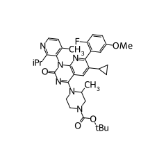 COc1ccc(F)c(-c2nc3c(cc2C2CC2)c(N2CCN(C(=O)OC(C)(C)C)CC2C)nc(=O)n3-c2c(C)ccnc2C(C)C)c1